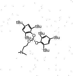 CN(C)CCOP(Oc1c(C(C)(C)C)cc(C(C)(C)C)cc1C(C)(C)C)Oc1c(C(C)(C)C)cc(C(C)(C)C)cc1C(C)(C)C